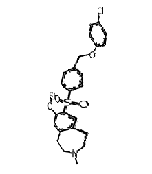 CCOc1cc2c(cc1S(=O)(=O)c1ccc(COc3ccc(Cl)cc3)cc1)CCN(C)CC2